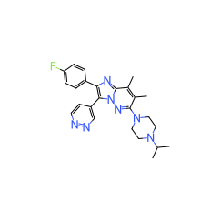 Cc1c(N2CCN(C(C)C)CC2)nn2c(-c3ccnnc3)c(-c3ccc(F)cc3)nc2c1C